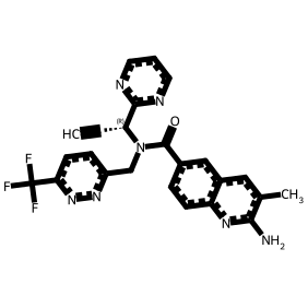 C#C[C@H](c1ncccn1)N(Cc1ccc(C(F)(F)F)nn1)C(=O)c1ccc2nc(N)c(C)cc2c1